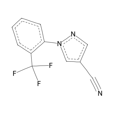 N#Cc1cnn(-c2ccccc2C(F)(F)F)c1